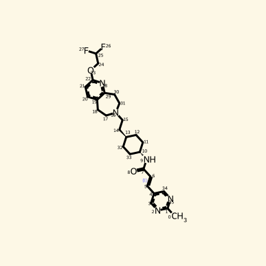 Cc1ncc(/C=C/C(=O)N[C@H]2CC[C@H](CCN3CCc4ccc(OCC(F)F)nc4CC3)CC2)cn1